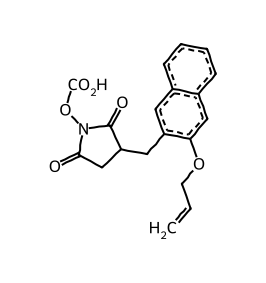 C=CCOc1cc2ccccc2cc1CC1CC(=O)N(OC(=O)O)C1=O